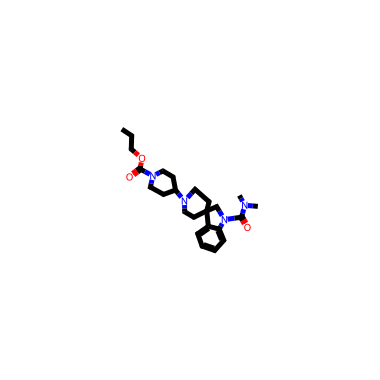 CCCOC(=O)N1CCC(N2CCC3(CC2)CN(C(=O)N(C)C)c2ccccc23)CC1